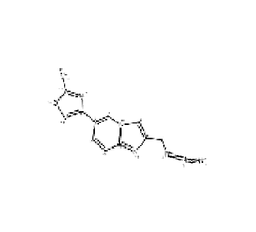 [N-]=[N+]=NCc1cn2cc(-c3noc(C(F)(F)F)n3)ccc2n1